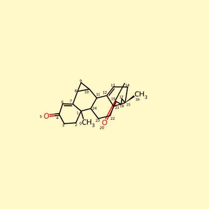 CC12CCC(=O)C=C1C1CC1C1C3=CC[C@@]4(C)CCC(=O)C34CCC12